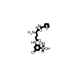 N[C@@H](CCC(=O)Nc1cc(Cl)cc(S(=O)(=O)O)c1O)c1nnc(-c2cccs2)o1